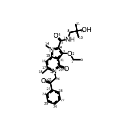 CCOc1c(C(=O)NCC(C)(C)O)n(C)c2cc(C)n(CC(=O)c3ccccc3)c(=O)c12